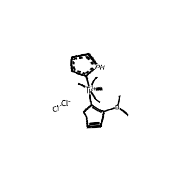 CB(C)C1=[C]([Ti+2]([CH3])([CH3])([CH3])([CH3])[c]2ccc[pH]2)CC=C1.[Cl-].[Cl-]